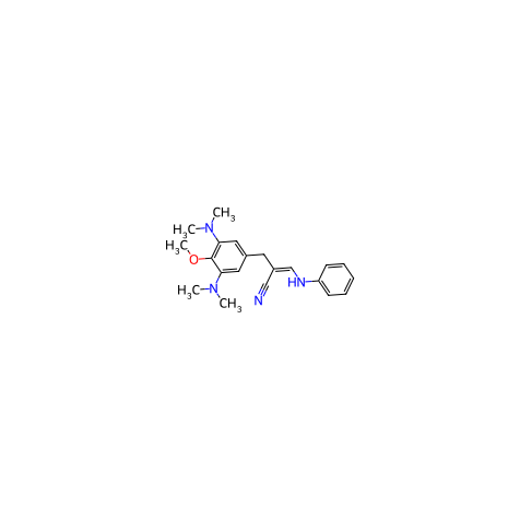 COc1c(N(C)C)cc(CC(C#N)=CNc2ccccc2)cc1N(C)C